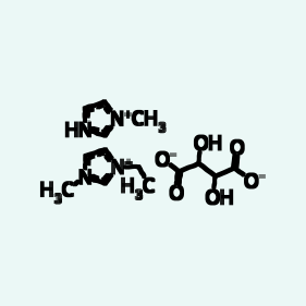 CC[n+]1ccn(C)c1.C[n+]1cc[nH]c1.O=C([O-])C(O)C(O)C(=O)[O-]